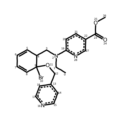 CCN(CC1C=CC=CC1(Br)OCc1ccncc1)c1ccc(C(=O)OC)cn1